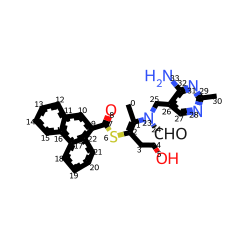 CC(=C(CCO)SC(=O)c1cc2ccccc2c2ccccc12)N(C=O)Cc1cnc(C)nc1N